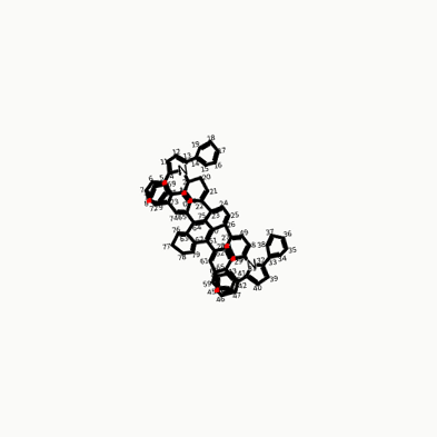 C1=CC(n2c(-c3ccccc3)ccc2-c2ccccc2)CC=C1c1ccc(-c2ccc(-n3c(-c4ccccc4)ccc3-c3ccccc3)cc2)c2c(-c3ccc4ccccc4c3)c3c(c(-c4ccc5ccccc5c4)c12)=CCCC=3